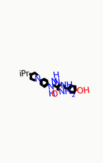 CC(C)C1CCN(c2ccc(Nc3n[nH]c(NCc4ccc(O)cc4)c3C(N)=O)cc2)CC1